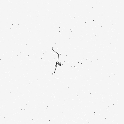 C[CH2][Hg][CH3]